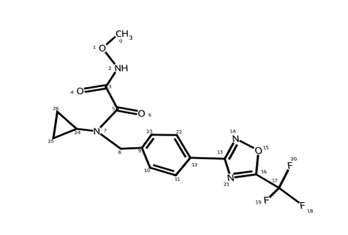 CONC(=O)C(=O)N(Cc1ccc(-c2noc(C(F)(F)F)n2)cc1)C1CC1